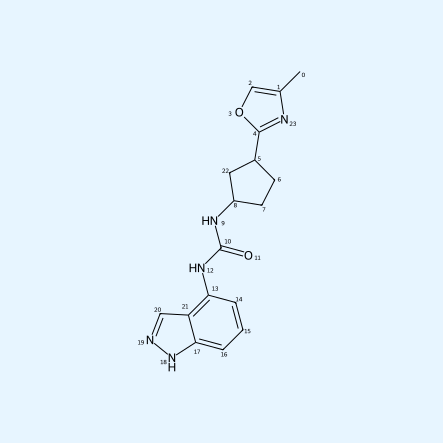 Cc1coc(C2CCC(NC(=O)Nc3cccc4[nH]ncc34)C2)n1